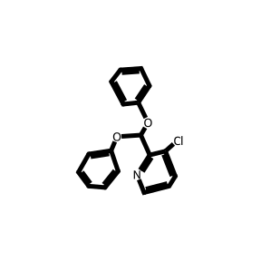 Clc1cccnc1C(Oc1ccccc1)Oc1ccccc1